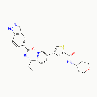 CCC(NC(=O)c1ccc2[nH]ncc2c1)c1ccc(-c2csc(C(=O)NC3CCOCC3)c2)cn1